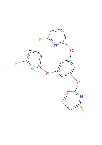 Fc1cccc(Oc2cc(Oc3cccc(F)n3)cc(Oc3cccc(F)n3)c2)n1